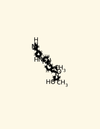 C[C@H]1CN(C(=O)c2cc3c(n2C)CN(c2nccc(Nc4ccc(-c5cn[nH]c5)cc4)n2)CC3)C[C@H]1O